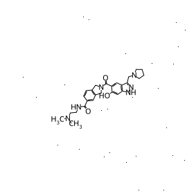 CN(C)CCNC(=O)c1ccc2c(c1)CN(C(=O)c1cc3c(CN4CCCC4)n[nH]c3cc1O)C2